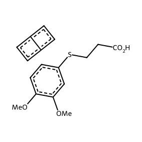 COc1ccc(SCCC(=O)O)cc1OC.c1cc2ccc1-2